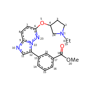 CCN1CCC(Oc2ccc3ncc(-c4cccc(C(=O)OC)c4)n3n2)C1